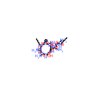 CCCCCCCC[C@@H]1NC(=O)[C@@H](Cc2ccccc2)NC(=O)[C@H](CCN)NC(=O)[C@@H](NC(=O)[C@H](CCN)NC(=O)C(NC(=O)[C@H](CCN)NC(=O)CCCCCCC)[C@@H](C)O)CCNOCC([C@@H](C)O)NC(=O)[C@H](CCN)NC(=O)[C@H](CCN)NC1=O